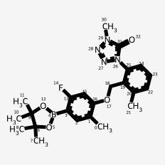 Cc1cc(B2OC(C)(C)C(C)(C)O2)c(F)cc1OCc1c(C)cccc1-n1nnn(C)c1=O